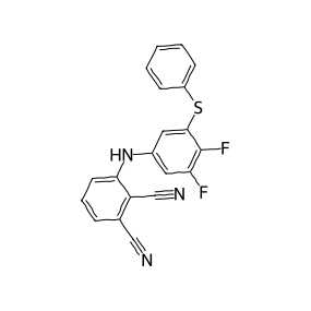 N#Cc1cccc(Nc2cc(F)c(F)c(Sc3ccccc3)c2)c1C#N